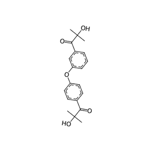 CC(C)(O)C(=O)c1ccc(Oc2cccc(C(=O)C(C)(C)O)c2)cc1